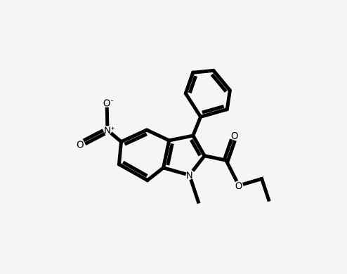 CCOC(=O)c1c(-c2ccccc2)c2cc([N+](=O)[O-])ccc2n1C